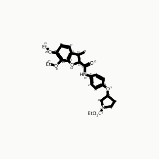 CCOC(=O)N1CCC(Oc2ccc(NC(=O)C3Oc4c(ccc(OCC)c4OCC)C3C)cc2)C1